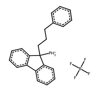 F[B-](F)(F)F.[PH3+]C1(CCCc2ccccc2)c2ccccc2-c2ccccc21